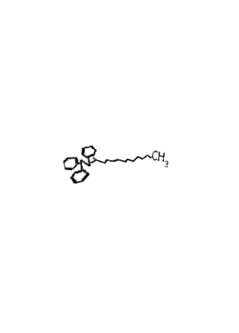 CCCCCCCCCCCCCC[N+](c1ccccc1)(c1ccccc1)c1ccccc1